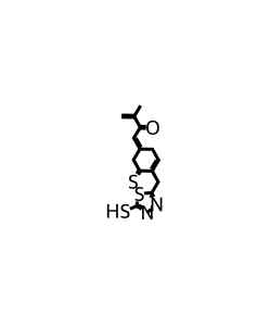 C=C(C)C(=O)C=C1CC=C(Cc2nnc(S)s2)C(=S)C1